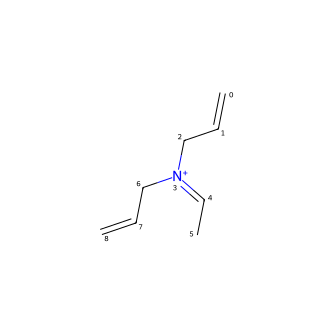 C=CC[N+](=CC)CC=C